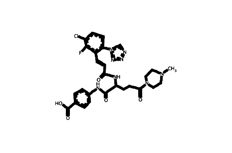 CN1CCN(C(=O)CCC(NC(=O)/C=C/c2c(-n3cnnn3)ccc(Cl)c2F)C(=O)Nc2ccc(C(=O)O)cc2)CC1